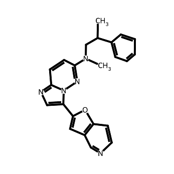 CC(CN(C)c1ccc2ncc(-c3cc4cnccc4o3)n2n1)c1ccccc1